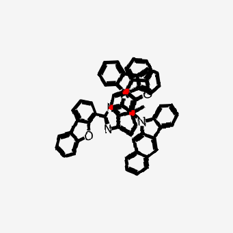 CC1C/C=C(c2ccc3c(oc4ccccc43)c2-n2c3ccccc3c3cc4ccccc4cc32)/N=C(c2cccc3c2oc2ccccc23)\N=C/1n1c2ccccc2c2ccccc21